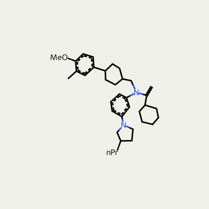 C=C(C1CCCCC1)N(CC1CCC(c2ccc(OC)c(C)c2)CC1)c1cccc(N2CCC(CCC)C2)c1